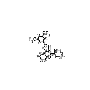 CC(C)CC(N)C(=O)NC(COc1cc(C(F)(F)F)cc(C(F)(F)F)c1)c1ccccc1